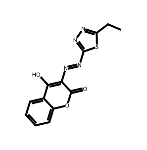 CCc1nnc(N=Nc2c(O)c3ccccc3oc2=O)s1